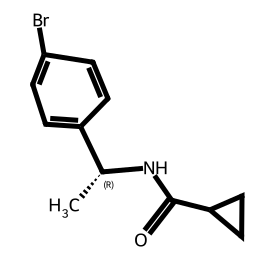 C[C@@H](NC(=O)C1CC1)c1ccc(Br)cc1